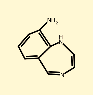 Nc1cccc2c1NC=CN=C2